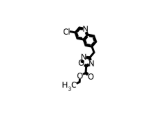 CCOC(=O)c1nc(Cc2ccc3ncc(Cl)cc3c2)no1